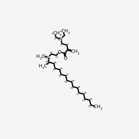 C=C(CCN(CC)CC)C(=O)OCCN(C)C(C)CCCCCCCCCCCCCCC